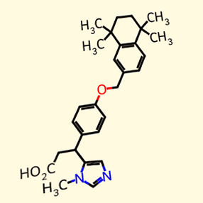 Cn1cncc1C(CC(=O)O)c1ccc(OCc2ccc3c(c2)C(C)(C)CCC3(C)C)cc1